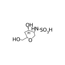 O=S(=O)(O)NC1COC(CO)C[C@H]1O